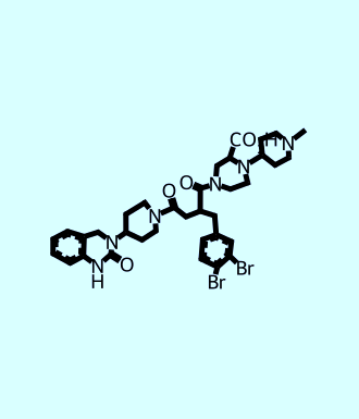 CN1CCC(N2CCN(C(=O)C(CC(=O)N3CCC(N4Cc5ccccc5NC4=O)CC3)Cc3ccc(Br)c(Br)c3)CC2C(=O)O)CC1